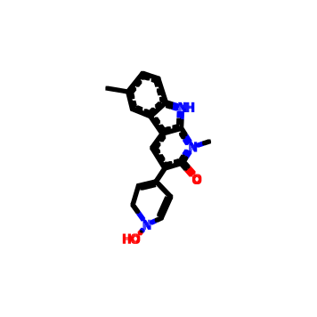 Cc1ccc2[nH]c3c(cc(C4=CCN(O)C=C4)c(=O)n3C)c2c1